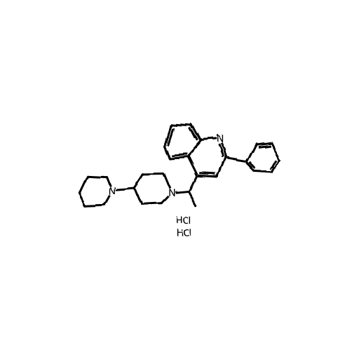 CC(c1cc(-c2ccccc2)nc2ccccc12)N1CCC(N2CCCCC2)CC1.Cl.Cl